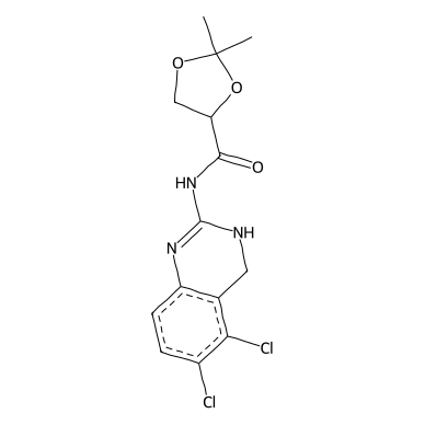 CC1(C)OCC(C(=O)NC2=Nc3ccc(Cl)c(Cl)c3CN2)O1